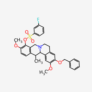 COc1cc2c(cc1OCc1ccccc1)CCN1Cc3c(ccc(OC)c3OS(=O)(=O)c3cccc(F)c3)C(C)C21